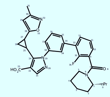 CCC[C@@H]1CCCCN1C(=O)c1cccc(-c2cccc(-n3ncc(C(=O)O)c3C3CC3c3cc(C)no3)c2)c1F